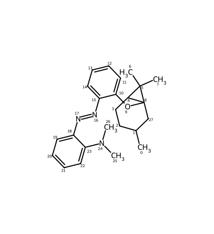 CC1CCC2C(C)(C)C2(Oc2ccccc2N=Nc2ccccc2N(C)C)C1